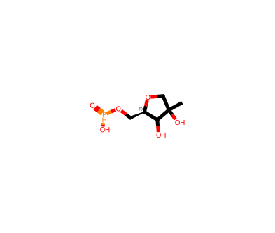 CC1(O)CO[C@H](CO[PH](=O)O)C1O